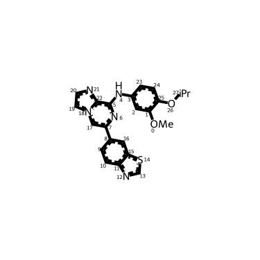 COc1cc(Nc2nc(-c3ccc4ncsc4c3)cn3ccnc23)ccc1OC(C)C